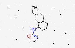 CCC1CCc2cccc(NC3=NCCO3)c2C1